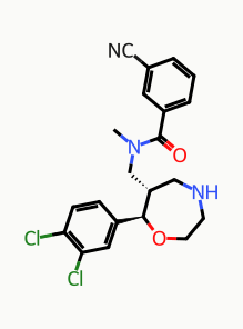 CN(C[C@@H]1CNCCO[C@H]1c1ccc(Cl)c(Cl)c1)C(=O)c1cccc(C#N)c1